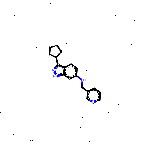 c1cncc(CNc2ccc3c(C4CCCC4)n[nH]c3c2)c1